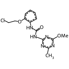 COc1nc(C)nc(NC(=O)Nc2ccccc2OCCCl)n1